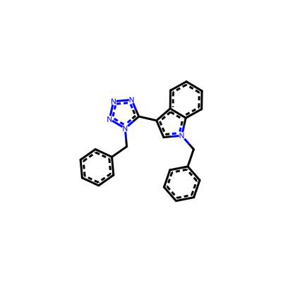 c1ccc(Cn2nnnc2-c2cn(Cc3ccccc3)c3ccccc23)cc1